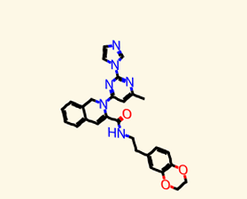 Cc1cc(N2Cc3ccccc3C=C2C(=O)NCCc2ccc3c(c2)OCCO3)nc(-n2ccnc2)n1